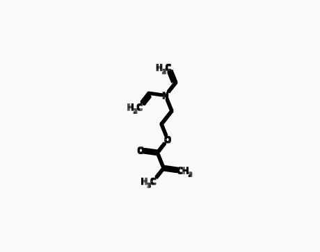 C=CN(C=C)CCOC(=O)C(=C)C